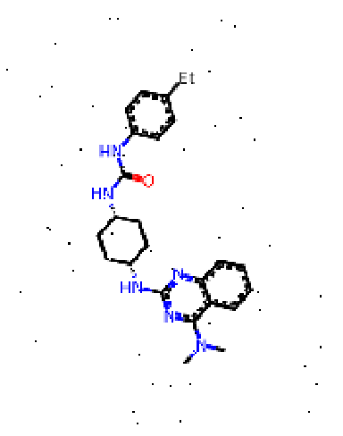 CCc1ccc(NC(=O)N[C@H]2CC[C@@H](Nc3nc(N(C)C)c4ccccc4n3)CC2)cc1